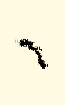 CC1=C(C(=O)Nc2ccc3[nH]nc(-c4ccnc(N5CCN(CCN6CCN(CC7CCN(c8ccc9c(c8)C(=O)N(C8CCC(=O)NC8=O)C9=O)CC7)CC6)[C@@H](C)C5)c4)c3c2)[C@H](C)n2nnnc2N1C